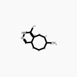 CC1CCCC2C=NNC(I)=C2CC1